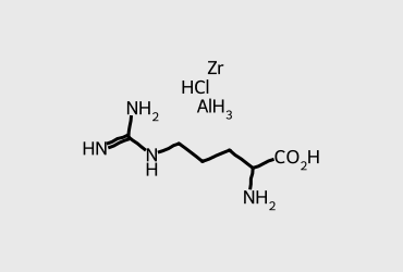 Cl.N=C(N)NCCCC(N)C(=O)O.[AlH3].[Zr]